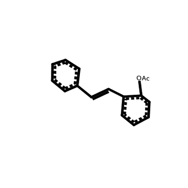 CC(=O)Oc1ccccc1/C=C/c1ccccc1